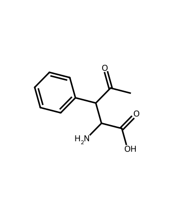 CC(=O)C(c1ccccc1)C(N)C(=O)O